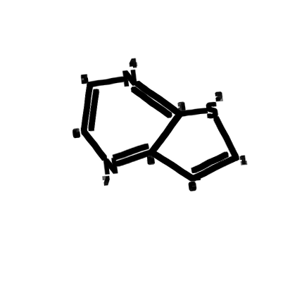 [c]1csc2nccnc12